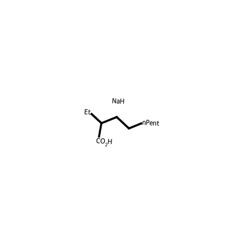 CCCCCCCC(CC)C(=O)O.[NaH]